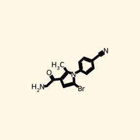 Cc1c(C(=O)CN)cc(Br)n1-c1ccc(C#N)cc1